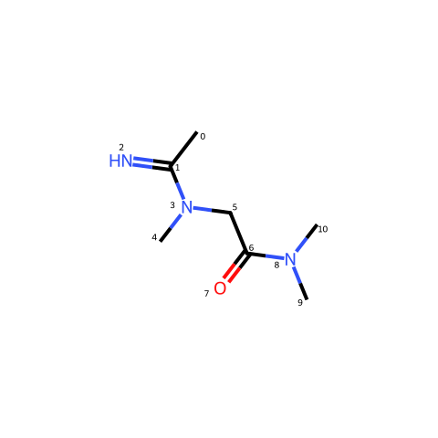 CC(=N)N(C)CC(=O)N(C)C